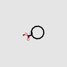 COC(=O)/C1=C/CCCCCCCCCC1